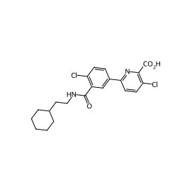 O=C(NCCC1CCCCC1)c1cc(-c2ccc(Cl)c(C(=O)O)n2)ccc1Cl